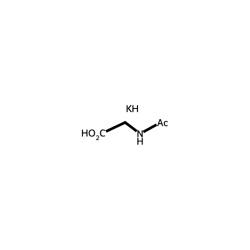 CC(=O)NCC(=O)O.[KH]